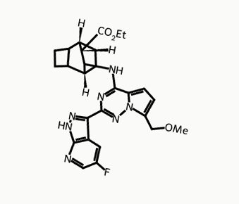 CCOC(=O)[C@@H]1C(Nc2nc(-c3n[nH]c4ncc(F)cc34)nn3c(COC)ccc23)[C@@H]2CC[C@H]1C1CCC12